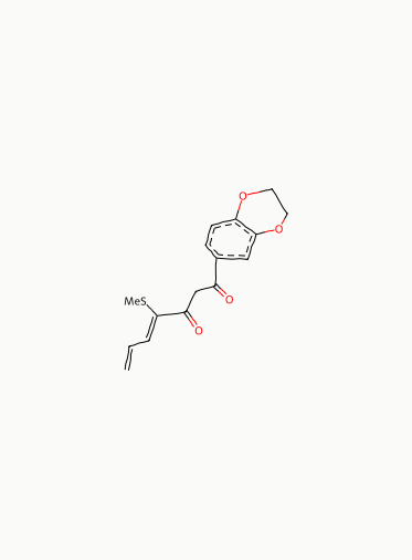 C=C/C=C(\SC)C(=O)CC(=O)c1ccc2c(c1)OCCO2